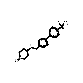 CCN1CCC(NCc2ccc(-c3ccc(C(F)(F)C(F)(F)F)cc3)cc2)CC1